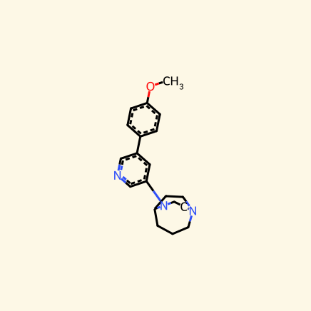 COc1ccc(-c2cncc(N3CCN4CCCC3CC4)c2)cc1